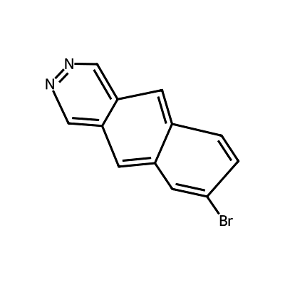 Brc1ccc2cc3cnncc3cc2c1